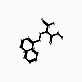 COC(=O)C(CCc1cccc2ccccc12)C(C)=O